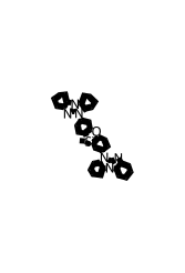 C[Si]1(C)c2ccc(-n3c4ccccc4n4c5ccccc5nc34)cc2Oc2ccc(-n3c4ccccc4n4c5ccccc5nc34)cc21